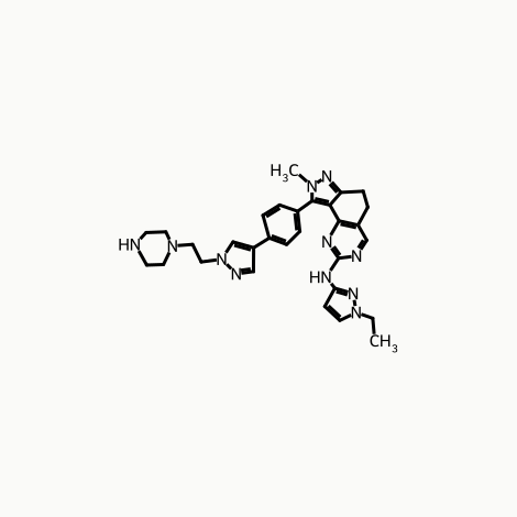 CCn1ccc(Nc2ncc3c(n2)-c2c(nn(C)c2-c2ccc(-c4cnn(CCN5CCNCC5)c4)cc2)CC3)n1